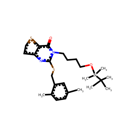 Cc1ccc(C)c(CSc2nc3ccsc3c(=O)n2CCCCO[Si](C)(C)C(C)(C)C)c1